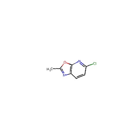 Cc1nc2ccc(Cl)nc2o1